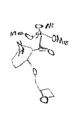 CO[Si](OC)(OC)C(=O)C1NCCC1OCC1CO1